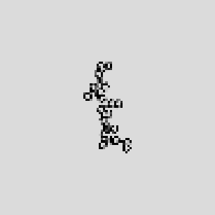 c1ccc2cc(-c3cccc4c3oc3cc(-n5c6ccccc6c6c5ccc5c7ccccc7n(-c7ccc(-c8cccc9ccccc89)cc7)c56)ccc34)c(-c3ccc(-n4c5ccccc5c5ccc6c(c7ccccc7n6-c6ccc7oc8ccccc8c7c6)c54)cc3)cc2c1